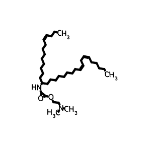 CCC/C=C\CCCCCCCCC(CCCCCCCC/C=C\C/C=C\CCCCC)NC1OC1OCCN(C)C